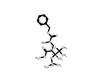 COC(=O)[C@@H](CN(O)C(=O)OCc1ccccc1)[C@@](C)(O[SiH](C)C)C(C)(C)C